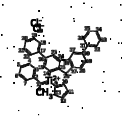 C/[C](c1ccccc1)=[Ti+2](\[C]1=CC=CC1)[c]1cc(-c2ccccc2)cc2c1Cc1ccc(-c3ccccc3)cc1-2.[Cl-].[Cl-]